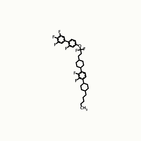 CCCCCC1CCC(c2ccc(C3CCC(CCC(F)(F)Oc4ccc(-c5cc(F)c(F)c(F)c5)c(F)c4)CC3)c(F)c2F)CC1